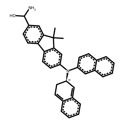 CC1(C)c2cc(C(N)O)ccc2-c2ccc(N(c3ccc4ccccc4c3)[C@H]3C=c4ccccc4=CC3)cc21